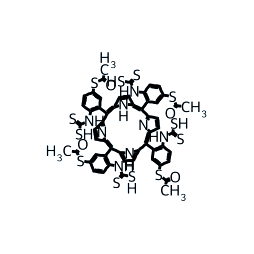 CC(=O)Sc1ccc(NC(=S)S)c(-c2c3nc(c(-c4cc(SC(C)=O)ccc4NC(=S)S)c4ccc([nH]4)c(-c4cc(SC(C)=O)ccc4NC(=S)S)c4nc(c(-c5cc(SC(C)=O)ccc5NC(=S)S)c5ccc2[nH]5)C=C4)C=C3)c1